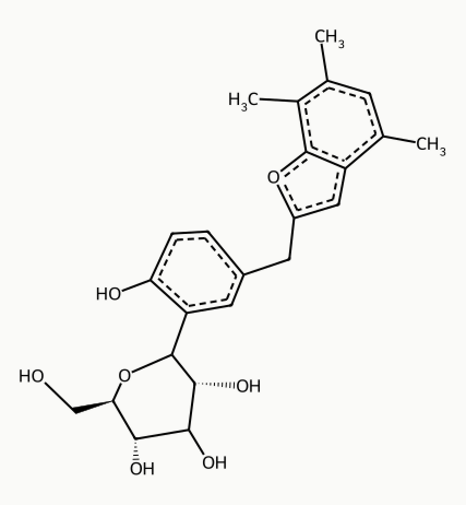 Cc1cc(C)c2cc(Cc3ccc(O)c(C4O[C@H](CO)[C@@H](O)C(O)[C@H]4O)c3)oc2c1C